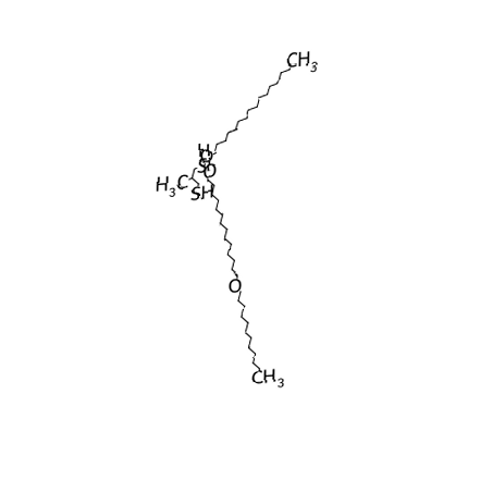 CCCCCCCCCCCCCCCCO[SiH](CC(C)CS)OCCCCCCCCCCCCCCOCCCCCCCCCCCC